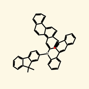 CC1(C)c2ccccc2-c2ccc(N(c3ccc4ccc5c6ccccc6ccc5c4c3)c3ccccc3-c3ccc4ccccc4c3)cc21